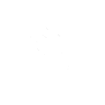 COc1cc2nc(Cl)n3ncnc3c2cc1OC